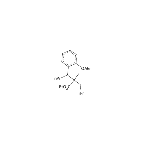 CCCC(c1ccccc1OC)C(C)(CC(C)C)C(=O)OCC